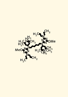 C=CCN(CC=C)c1nc(OC)nc(N(CCCCCCN(c2nc(OC)nc(N(CC=C)CC=C)n2)C2CC(C)(C)NC(C)(C)C2)C2CC(C)(C)NC(C)(C)C2)n1